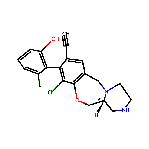 C#Cc1cc2c(c(Cl)c1-c1c(O)cccc1F)OC[C@H]1CNCCN1C2